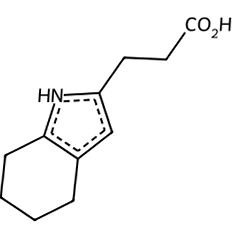 O=C(O)CCc1cc2c([nH]1)CCCC2